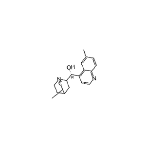 Cc1ccc2nccc([C@@H](O)C3CC4CCN3CC4C)c2c1